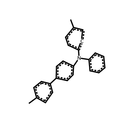 Cc1ccc(-c2ccc(N(c3ccccc3)c3ccc(C)cc3)cc2)cc1